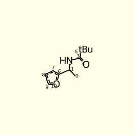 CC(NC(=O)C(C)(C)C)c1ccco1